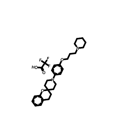 O=C(O)C(F)(F)F.c1ccc2c(c1)CCC1(CCN(c3ccc(OCCCN4CCCCC4)cc3)CC1)O2